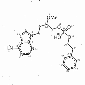 CO[C@@H](CCn1cnc2c(N)ncnc21)COP(=O)(O)OCCc1ccccc1